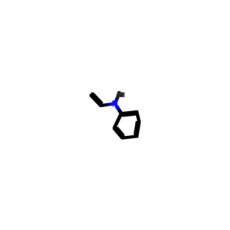 C=CN(C(C)=O)c1ccccc1